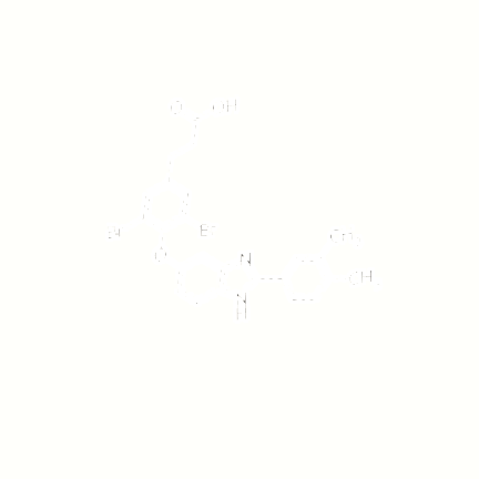 Cc1ccc(-c2nc3cc(Oc4c(Br)cc(CCC(=O)O)cc4Br)ccc3[nH]2)cc1C